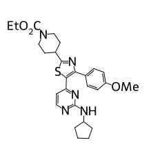 CCOC(=O)N1CCC(c2nc(-c3ccc(OC)cc3)c(-c3ccnc(NC4CCCC4)n3)s2)CC1